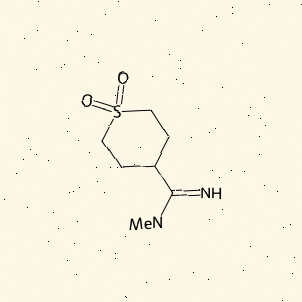 CNC(=N)C1CCS(=O)(=O)CC1